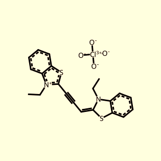 CCN1/C(=C\C#Cc2sc3ccccc3[n+]2CC)Sc2ccccc21.[O-][Cl+3]([O-])([O-])[O-]